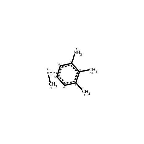 CCCCCCC.Cc1cccc(N)c1C